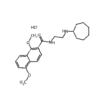 COc1cccc2c(OC)c(C(=O)NCCNC3CCCCCC3)ccc12.Cl